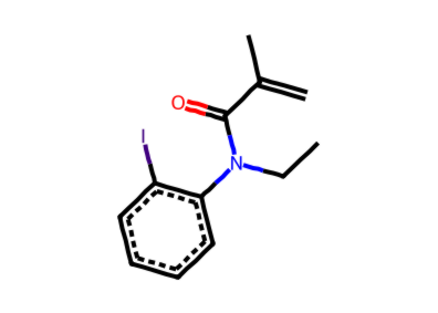 C=C(C)C(=O)N(CC)c1ccccc1I